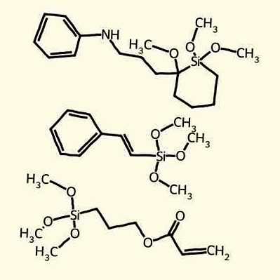 C=CC(=O)OCCC[Si](OC)(OC)OC.COC1(CCCNc2ccccc2)CCCC[Si]1(OC)OC.CO[Si](C=Cc1ccccc1)(OC)OC